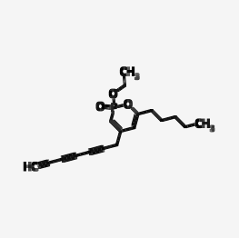 C#CC#CC#CCC1=CP(=O)(OCC)OC(CCCCC)=C1